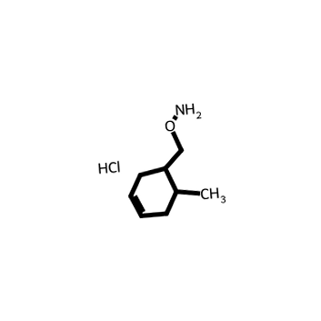 CC1CC=CCC1CON.Cl